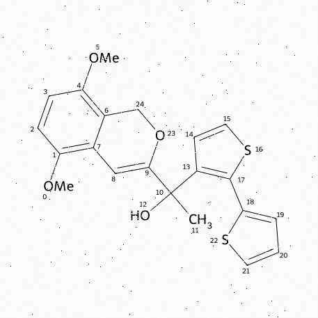 COc1ccc(OC)c2c1C=C(C(C)(O)c1ccsc1-c1cccs1)OC2